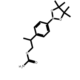 CC(COC(N)=O)c1ccc(B2OC(C)(C)C(C)(C)O2)cc1